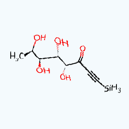 C[C@@H](O)[C@H](O)[C@H](O)[C@@H](O)C(=O)C#C[SiH3]